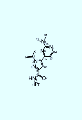 C=C(C)n1nc(C(=O)NC(C)C)cc1-c1ccnc(N(C)C)n1